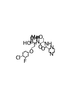 COCC(NC(=O)c1cnccn1)C(=O)N[C@@H](CCOc1ccc(Cl)c(F)c1)B(O)O